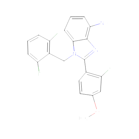 COc1ccc(-c2nc3c(N)cccc3n2Cc2c(F)cccc2F)c(F)c1